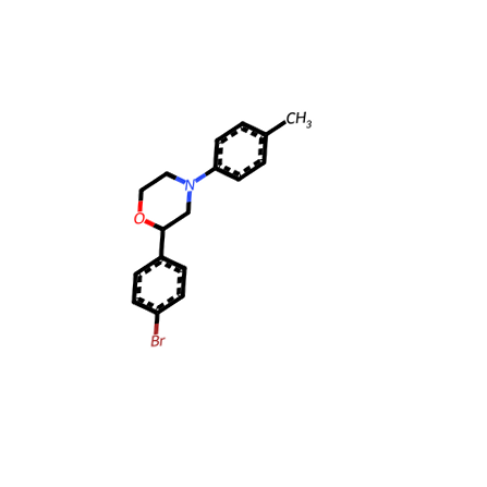 Cc1ccc(N2CCOC(c3ccc(Br)cc3)C2)cc1